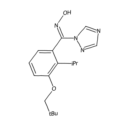 CC(C)c1c(OCC(C)(C)C)cccc1C(=NO)n1cncn1